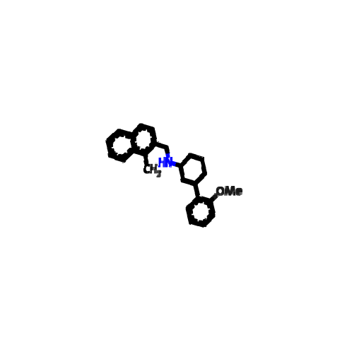 COc1ccccc1C1CCCC(NCc2ccc3ccccc3c2C)C1